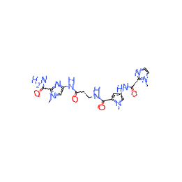 Cn1cc(NC(=O)c2nccn2C)cc1C(=O)NCCC(=O)Nc1cn(C)c(C(N)=O)n1